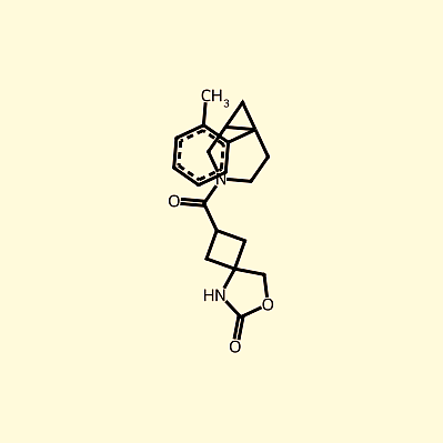 Cc1ccccc1C12CCN(C(=O)C3CC4(COC(=O)N4)C3)CC1C2